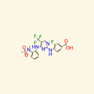 CN(c1ccccc1Nc1nc(Nc2ccc(C(=O)O)cc2F)ncc1C(F)(F)F)S(C)(=O)=O